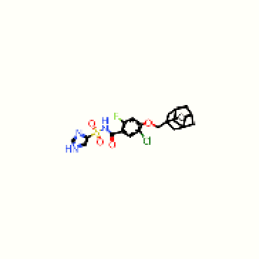 O=C(NS(=O)(=O)c1c[nH]cn1)c1cc(Cl)c(OCC23CC4CC5(C2)CC(C4)(C3)C5)cc1F